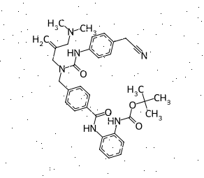 C=C(CN(C)C)CN(Cc1ccc(C(=O)Nc2ccccc2NC(=O)OC(C)(C)C)cc1)C(=O)Nc1ccc(CC#N)cc1